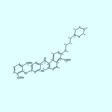 COc1cccc(OC)c1Oc1ccc(Nc2c(C#N)cnc3c(OC)c(OCCCN4CCOCC4)ccc23)cc1